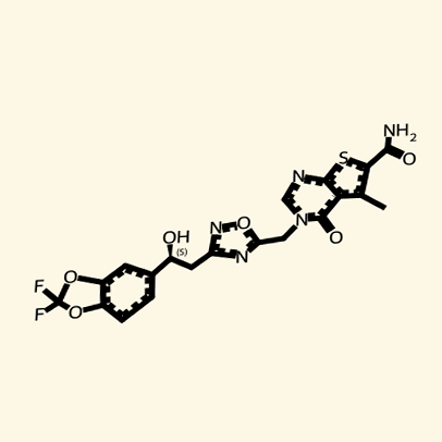 Cc1c(C(N)=O)sc2ncn(Cc3nc(C[C@H](O)c4ccc5c(c4)OC(F)(F)O5)no3)c(=O)c12